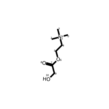 C[N+](C)(C)CCOC(=O)CO